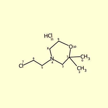 CC1(C)CN(CCCl)CCO1.Cl